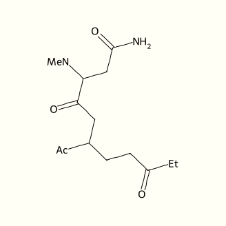 CCC(=O)CCC(CC(=O)C(CC(N)=O)NC)C(C)=O